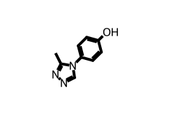 Cc1nncn1-c1ccc(O)cc1